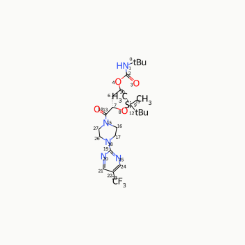 CC(C)(C)NC(=O)OCC[C@H](O[Si](C)(C)C(C)(C)C)C(=O)N1CCN(c2ncc(C(F)(F)F)cn2)CC1